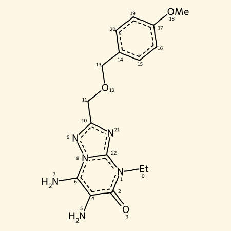 CCn1c(=O)c(N)c(N)n2nc(COCc3ccc(OC)cc3)nc12